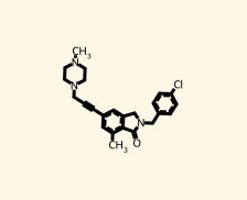 Cc1cc(C#CCN2CCN(C)CC2)cc2c1C(=O)N(Cc1ccc(Cl)cc1)C2